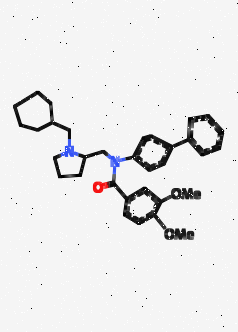 COc1ccc(C(=O)N(CC2CCCN2CC2CCCCC2)c2ccc(-c3ccccc3)cc2)cc1OC